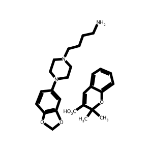 CC1(C)Oc2ccccc2C=C1C(=O)O.NCCCCN1CCN(c2ccc3c(c2)OCO3)CC1